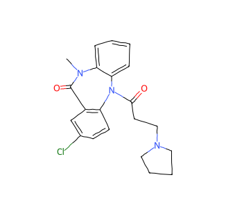 CN1C(=O)c2cc(Cl)ccc2N(C(=O)CCN2CCCC2)c2ccccc21